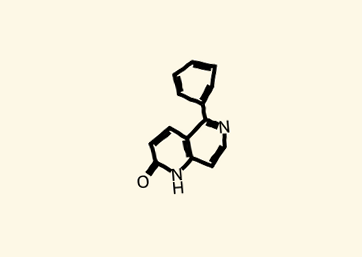 O=c1ccc2c(-c3ccccc3)nccc2[nH]1